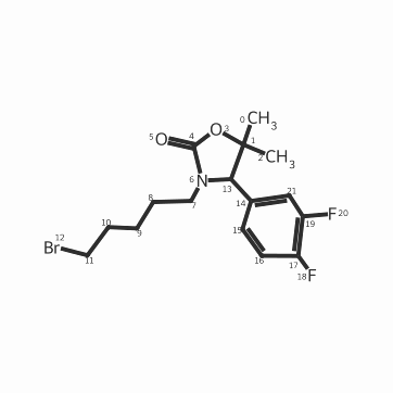 CC1(C)OC(=O)N(CCCCCBr)C1c1ccc(F)c(F)c1